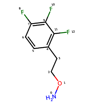 NOCCc1ccc(F)c(F)c1F